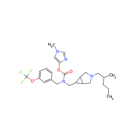 CCCC(C)CN1CC2C(C1)C2CN(Cc1cccc(OC(F)(F)F)c1)C(=O)Oc1cn(C)cn1